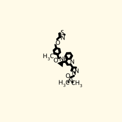 Cc1cc(COCc2cscn2)ccc1C(=O)NC1(c2cc(-c3cnn(CC(=O)N(C)C)c3)nc3ccccc23)CC1